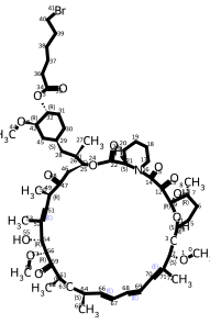 CO[C@H]1C[C@@H]2CC[C@@H](C)[C@@](O)(O2)C(=O)C(=O)N2CCCC[C@H]2C(=O)O[C@H]([C@H](C)C[C@@H]2CC[C@@H](OC(=O)CCCCCBr)[C@H](OC)C2)CC(=O)[C@H](C)/C=C(\C)[C@@H](O)[C@@H](OC)C(=O)[C@H](C)C[C@H](C)/C=C/C=C/C=C/1C